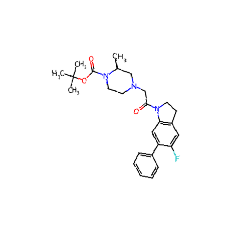 CC1CN(CC(=O)N2CCc3cc(F)c(-c4ccccc4)cc32)CCN1C(=O)OC(C)(C)C